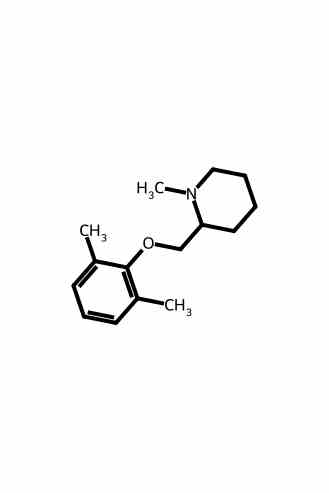 Cc1cccc(C)c1OCC1CCCCN1C